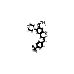 COc1cc2c(cc1N1CCOCC1)CC(Cc1ccc(C(F)(F)F)cc1)OS2